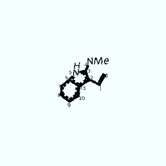 C=Cc1c(NC)[nH]c2ccccc12